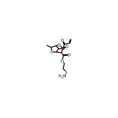 C=CC(=O)OC1C2OC(=O)C(C(=O)OCCSN)C1OC2C